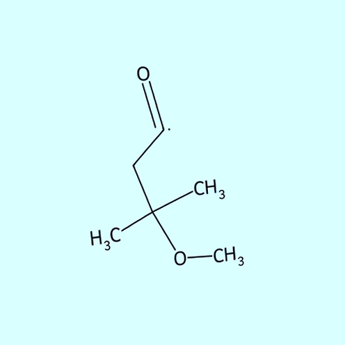 COC(C)(C)C[C]=O